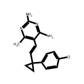 Cc1nc(N)nc(N)c1/C=C/C1(c2ccc(Cl)cc2)CC1